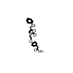 CCCC(=O)Cc1ccc(OCCN2C[C@@H](COc3ccccc3)OC2=O)cc1